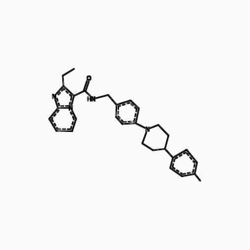 CCc1nc2ccccn2c1C(=O)NCc1ccc(N2CCC(c3ccc(C)cc3)CC2)cc1